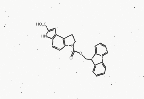 O=C(O)c1cc2c3c(ccc2[nH]1)N(C(=O)OCC1c2ccccc2-c2ccccc21)CC3